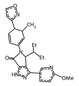 CCC(CC)C1c2c(-c3ccc(OC)nc3)n[nH]c2C(=O)N1C1=CC(C)C(c2ccon2)C=C1